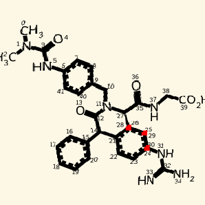 CN(C)C(=O)Nc1ccc(CN(C(=O)C(c2ccccc2)c2ccccc2)[C@H](CCCNC(=N)N)C(=O)NCC(=O)O)cc1